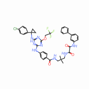 CC(C)(CNC(=O)C(=O)Nc1cccc(-c2ccccc2)c1)CNC(=O)c1ccc(Nc2nc(NC3(c4ccc(Cl)cc4)CC3)nc(OCC(F)(F)F)n2)cc1